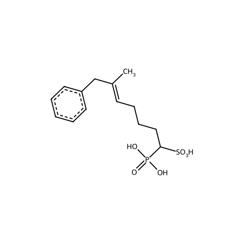 CC(=CCCCC(P(=O)(O)O)S(=O)(=O)O)Cc1ccccc1